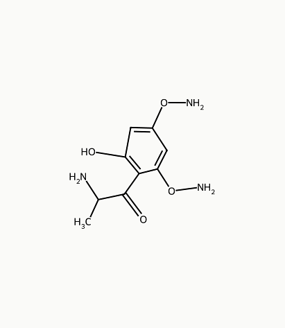 CC(N)C(=O)c1c(O)cc(ON)cc1ON